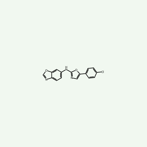 Clc1ccc(-c2cnc(Nc3ccc4ncoc4c3)o2)cc1